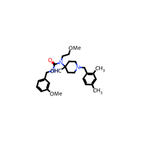 COCCN(C(=O)NCc1cccc(OC)c1)C1(C=O)CCN(Cc2ccc(C)cc2C)CC1